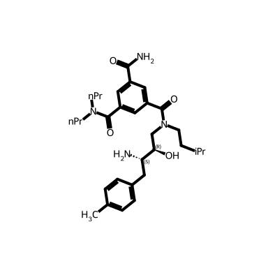 CCCN(CCC)C(=O)c1cc(C(N)=O)cc(C(=O)N(CCC(C)C)C[C@@H](O)[C@@H](N)Cc2ccc(C)cc2)c1